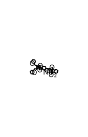 O=C1c2ccccc2C(=O)N1OCc1ccc(S(=O)(=O)N(CCC2CCCCO2)CCC2CCCCO2)cc1[N+](=O)[O-]